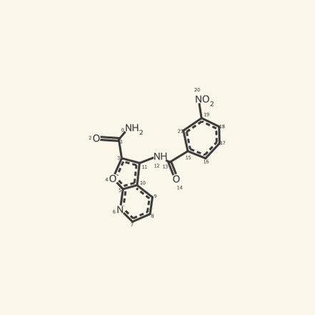 NC(=O)c1oc2ncccc2c1NC(=O)c1cccc([N+](=O)[O-])c1